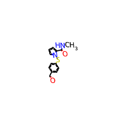 CNC(=O)c1cccn1Sc1ccc(C=O)cc1